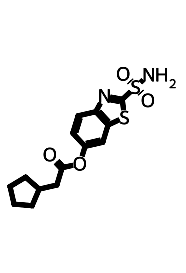 NS(=O)(=O)c1nc2ccc(OC(=O)CC3CCCC3)cc2s1